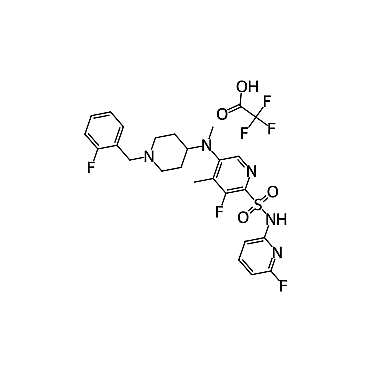 Cc1c(N(C)C2CCN(Cc3ccccc3F)CC2)cnc(S(=O)(=O)Nc2cccc(F)n2)c1F.O=C(O)C(F)(F)F